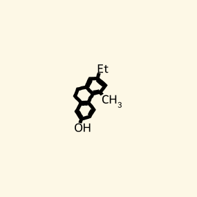 CCc1cc(C)c2c(c1)CCc1cc(O)ccc1-2